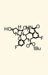 CC(C)(C)OC(=O)N1c2cc(F)cc3c(=O)[nH]nc(c23)C(N2C(=O)[C@@H]3C[C@@H](O)CN3C2=O)C1c1ccc(F)cc1